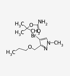 CC(C)(C)OC(N)=O.CCCOCc1nn(C)cc1Br